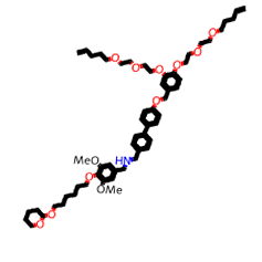 C=CCCCOCCOCCOc1ccc(COc2ccc(-c3ccc(CNCc4cc(OC)c(OCCCCCCOC5CCCCO5)c(OC)c4)cc3)cc2)cc1OCCOCCOCCCC=C